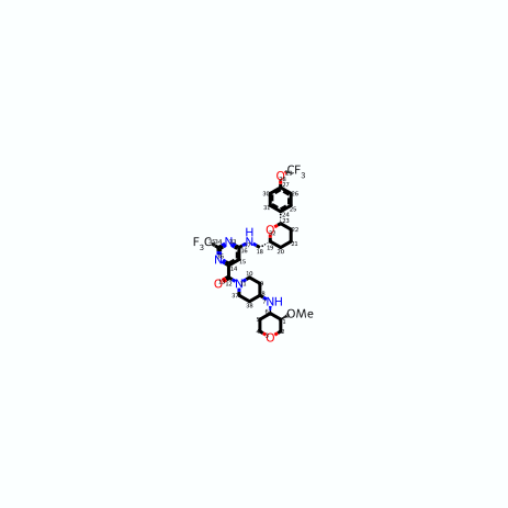 CO[C@H]1COCC[C@H]1NC1CCN(C(=O)c2cc(NC[C@H]3CCC[C@@H](c4ccc(OC(F)(F)F)cc4)O3)nc(C(F)(F)F)n2)CC1